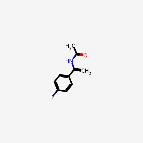 C=C(NC(C)=O)c1ccc(I)cc1